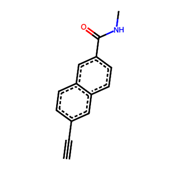 C#Cc1ccc2cc(C(=O)NC)ccc2c1